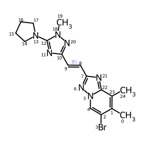 Cc1c(Br)cn2nc(/C=C/c3nc(N4CCCC4)n(C)n3)nc2c1C